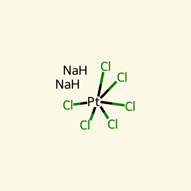 [Cl][Pt]([Cl])([Cl])([Cl])([Cl])[Cl].[NaH].[NaH]